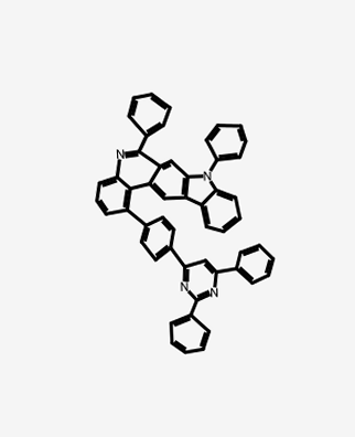 c1ccc(-c2cc(-c3ccc(-c4cccc5nc(-c6ccccc6)c6cc7c(cc6c45)c4ccccc4n7-c4ccccc4)cc3)nc(-c3ccccc3)n2)cc1